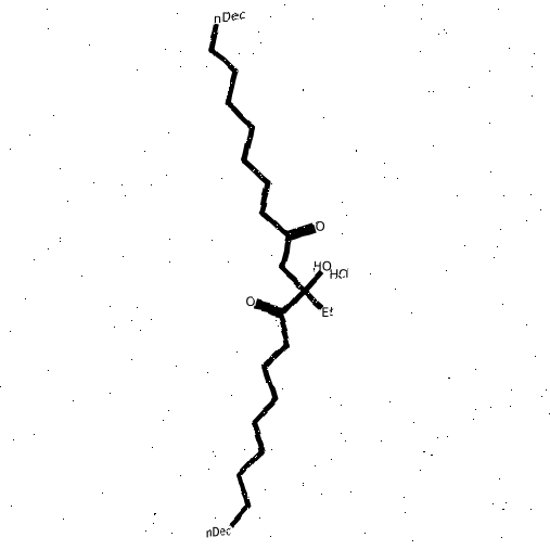 CCCCCCCCCCCCCCCCCC(=O)CC(O)(CC)C(=O)CCCCCCCCCCCCCCCCC.Cl